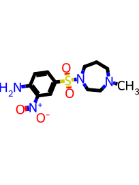 CN1CCCN(S(=O)(=O)c2ccc(N)c([N+](=O)[O-])c2)CC1